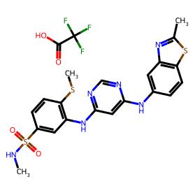 CNS(=O)(=O)c1ccc(SC)c(Nc2cc(Nc3ccc4sc(C)nc4c3)ncn2)c1.O=C(O)C(F)(F)F